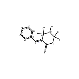 CN1C(C)(C)CC(=O)/C(=C/c2ccccc2)C1(C)C